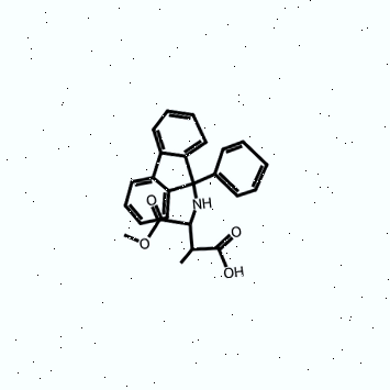 COC(=O)C(NC1(c2ccccc2)c2ccccc2-c2ccccc21)C(C)C(=O)O